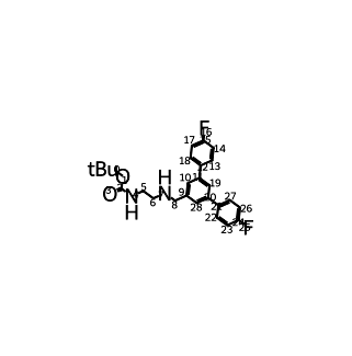 CC(C)(C)OC(=O)NCCNCc1cc(-c2ccc(F)cc2)cc(-c2ccc(F)cc2)c1